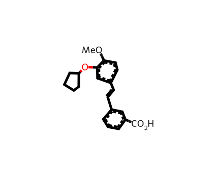 COc1ccc(C=Cc2cccc(C(=O)O)c2)cc1OC1CCCC1